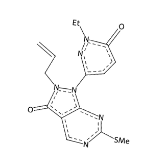 C=CCn1c(=O)c2cnc(SC)nc2n1-c1ccc(=O)n(CC)n1